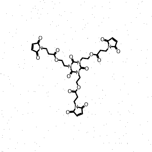 O=C(CCN1C(=O)C=CC1=O)OCCn1c(=O)n(CCOC(=O)CCN2C(=O)C=CC2=O)c(=O)n(CCOC(=O)CCN2C(=O)C=CC2=O)c1=O